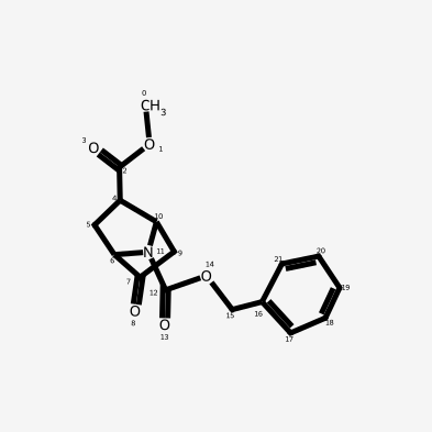 COC(=O)C1CC2C(=O)CC1N2C(=O)OCc1ccccc1